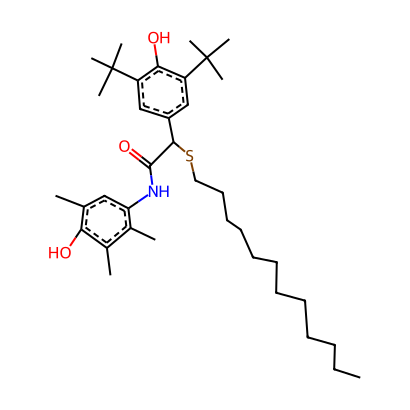 CCCCCCCCCCCCSC(C(=O)Nc1cc(C)c(O)c(C)c1C)c1cc(C(C)(C)C)c(O)c(C(C)(C)C)c1